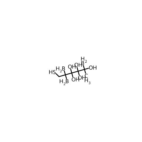 BC(C)(O)C(O)(O)C(O)(O)C(B)(B)CS